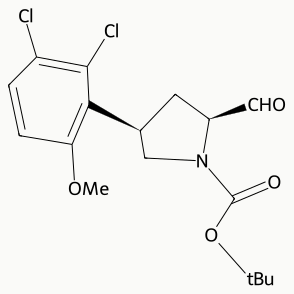 COc1ccc(Cl)c(Cl)c1[C@H]1C[C@@H](C=O)N(C(=O)OC(C)(C)C)C1